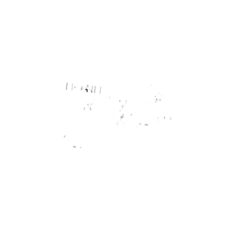 COc1ccc(S(=O)(=O)C(CCc2ccccc2)CC(=O)NO)cc1OC